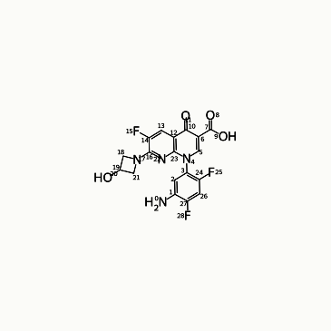 Nc1cc(-n2cc(C(=O)O)c(=O)c3cc(F)c(N4CC(O)C4)nc32)c(F)cc1F